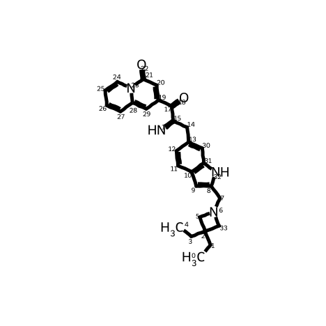 CCC1(CC)CN(Cc2cc3ccc(CC(=N)C(=O)c4cc(=O)n5ccccc5c4)cc3[nH]2)C1